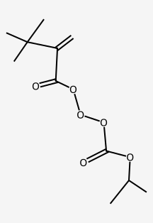 C=C(C(=O)OOOC(=O)OC(C)C)C(C)(C)C